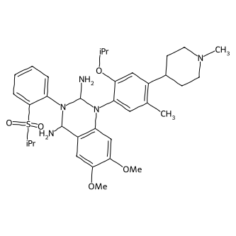 COc1cc2c(cc1OC)N(c1cc(C)c(C3CCN(C)CC3)cc1OC(C)C)C(N)N(c1ccccc1S(=O)(=O)C(C)C)C2N